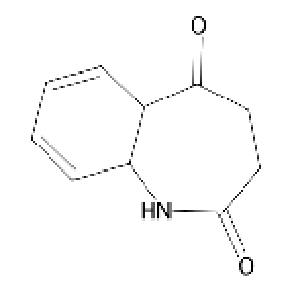 O=C1CCC(=O)C2C=CC=CC2N1